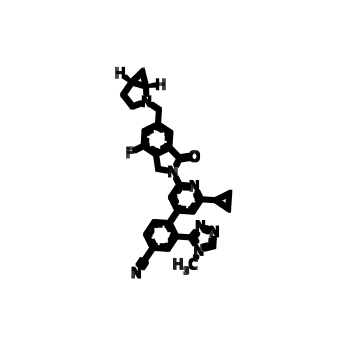 Cn1cnnc1-c1cc(C#N)ccc1-c1cc(C2CC2)nc(N2Cc3c(F)cc(CN4CC[C@@H]5C[C@@H]54)cc3C2=O)c1